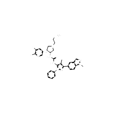 COCCN1C[C@@H](NC(=O)Nc2c(C)c(-c3ccc4c(cnn4C)c3)nn2-c2ccccc2)[C@H](c2cnc(F)c(F)c2)C1